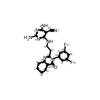 N#Cc1c(N)nc(N)nc1NCCc1nc2ccccc2c(=O)n1-c1cc(F)cc(F)c1